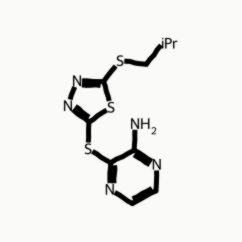 CC(C)CSc1nnc(Sc2nccnc2N)s1